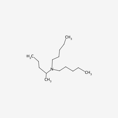 [CH2]CCC(C)N(CCCCC)CCCCC